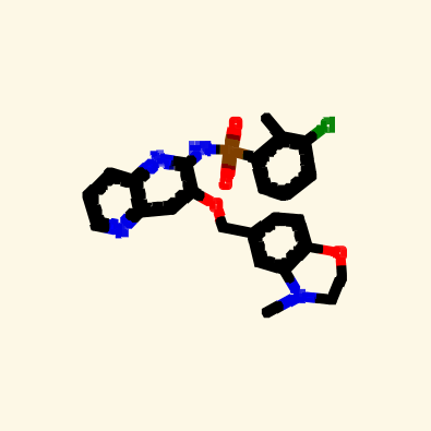 Cc1c(Cl)cccc1S(=O)(=O)Nc1nc2cccnc2cc1OCc1ccc2c(c1)N(C)CCO2